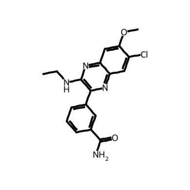 CCNc1nc2cc(OC)c(Cl)cc2nc1-c1cccc(C(N)=O)c1